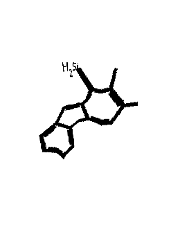 Cc1cc2c(c(=[SiH2])c1C)=Cc1ccccc1-2